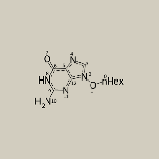 CCCCCCOn1cnc2c(=O)[nH]c(N)nc21